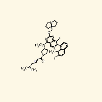 Cc1c(F)ccc2cccc(-c3ncc4c(N(C)C5CCN(C(=O)/C=C/CN(C)C)C5)nc(OCC56CCCN5CCC6)nc4c3F)c12